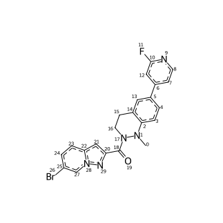 CN1c2ccc(-c3ccnc(F)c3)cc2CCN1C(=O)c1cc2ccc(Br)cn2n1